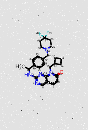 CC(Nc1ncc2ccc(=O)n(CC3CCC3)c2n1)c1ccc(CN2CCC(F)(F)CC2)cc1